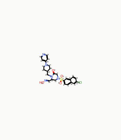 O=C1CN(S(=O)(=O)c2ccc3cc(Cl)ccc3c2)CC(C=NO)N1CC1CCN(c2ccncc2)CC1